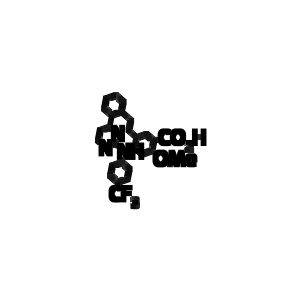 COc1ccc(C=Cc2ccccc2-c2ccnc(Nc3ccc(C(F)(F)F)cc3)n2)cc1C(=O)O